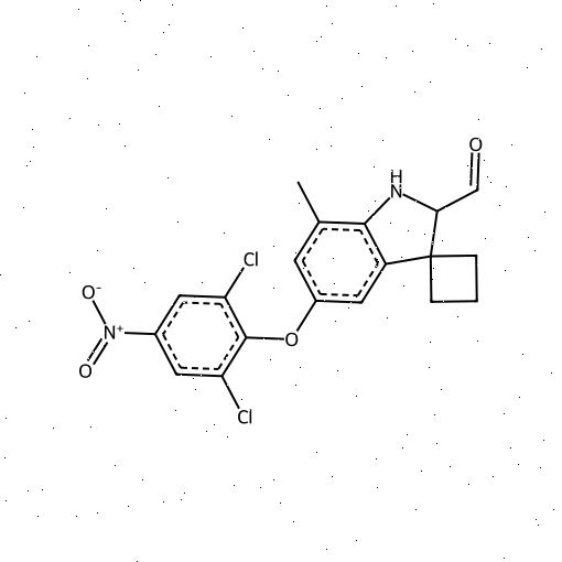 Cc1cc(Oc2c(Cl)cc([N+](=O)[O-])cc2Cl)cc2c1NC(C=O)C21CCC1